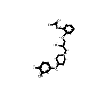 CCC(=O)Nc1ccccc1OCC(O)CN1CCC(Oc2ccc(Cl)c(Cl)c2)CC1